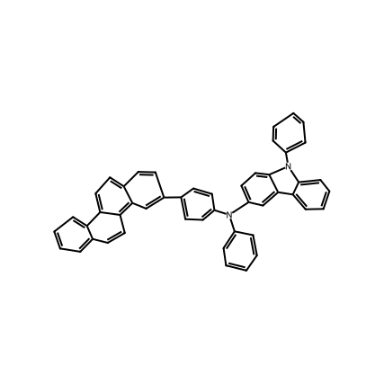 c1ccc(N(c2ccc(-c3ccc4ccc5c6ccccc6ccc5c4c3)cc2)c2ccc3c(c2)c2ccccc2n3-c2ccccc2)cc1